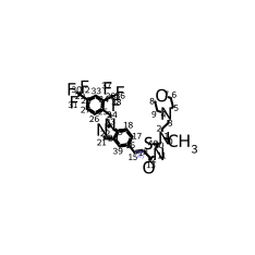 CN(CCN1CCOCC1)C1=NC(=O)/C(=C/c2ccc3c(cnn3Cc3ccc(C(F)(F)F)cc3C(F)(F)F)c2)S1